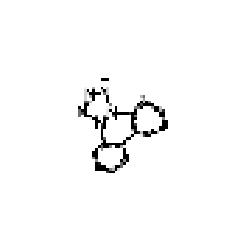 [c]1cccc2c1N1NN=NN1c1ccccc1-2